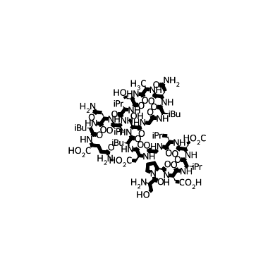 CC[C@H](C)[C@H](NC(=O)CNC(=O)[C@H](CO)NC(=O)[C@@H](NC(=O)[C@H](CC(=O)O)NC(=O)CNC(=O)[C@H](CC(C)C)NC(=O)[C@H](CC(=O)O)NC(=O)[C@@H](NC(=O)[C@H](CC(=O)O)NC(=O)[C@@H]1CCCN1C(=O)[C@@H](N)CO)C(C)C)[C@@H](C)CC)C(=O)N[C@@H](CC(N)=O)C(=O)N[C@@H](C)C(=O)N[C@@H](CO)C(=O)N[C@H](C(=O)N[C@H](C(=O)N[C@@H](CC(N)=O)C(=O)N[C@H](C(=O)N[C@@H](CCC(N)=O)C(=O)O)[C@@H](C)CC)C(C)C)C(C)C